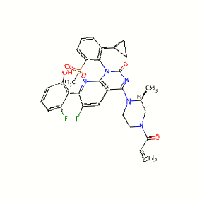 C=CC(=O)N1CCN(c2nc(=O)n(-c3c(C4CC4)cccc3S(C)(=O)=O)c3nc(-c4c(O)cccc4F)c(F)cc23)[C@@H](C)C1